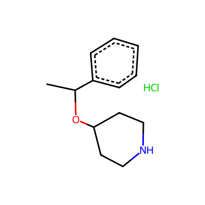 CC(OC1CCNCC1)c1ccccc1.Cl